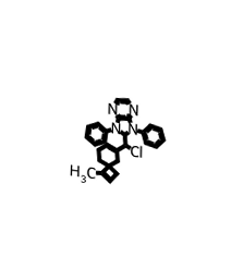 CC1=CCC12CCC=C(C(Cl)C1N(c3ccccc3)c3nccnc3N1c1ccccc1)C2